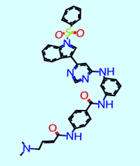 CN(C)CC=CC(=O)Nc1ccc(C(=O)Nc2cccc(Nc3cc(-c4cn(S(=O)(=O)c5ccccc5)c5ccccc45)ncn3)c2)cc1